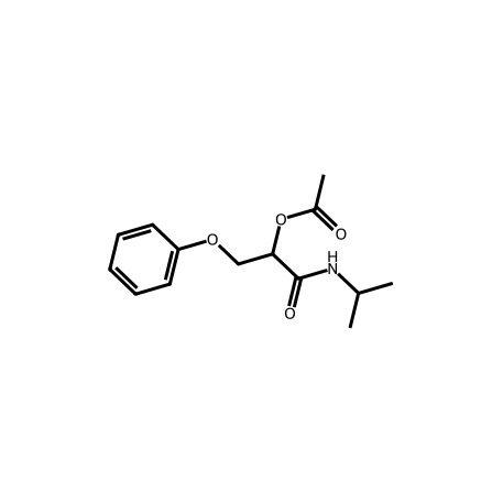 CC(=O)OC(COc1ccccc1)C(=O)NC(C)C